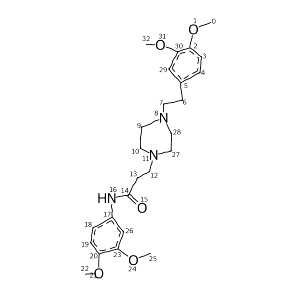 COc1ccc(CCN2CCN(CCC(=O)Nc3ccc(OC)c(OC)c3)CC2)cc1OC